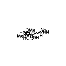 COc1cc(C(=O)OCCCCNC(=N)N)cc(OC)c1O.O=S(=O)(O)O